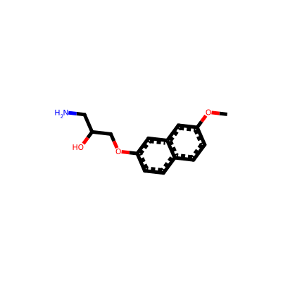 COc1ccc2ccc(OCC(O)CN)cc2c1